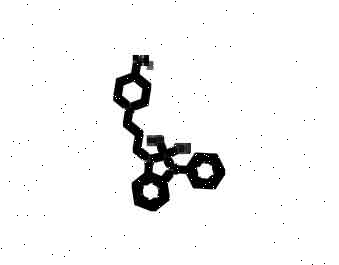 NC1CCN(CCCN2c3ccccc3N(c3ccccc3)S2(O)O)CC1